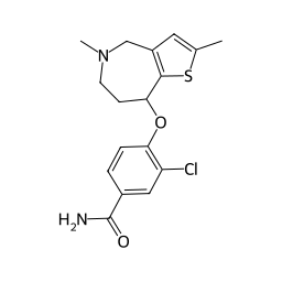 Cc1cc2c(s1)C(Oc1ccc(C(N)=O)cc1Cl)CCN(C)C2